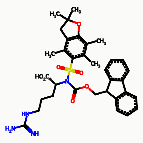 Cc1c(C)c(S(=O)(=O)N(C(=O)OCC2c3ccccc3-c3ccccc32)[C@@H](CCCNC(=N)N)C(=O)O)c(C)c2c1OC(C)(C)C2